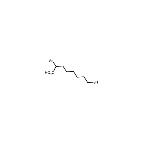 CC(=O)C(CCCCCCS)C(=O)O